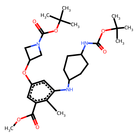 COC(=O)c1cc(OC2CN(C(=O)OC(C)(C)C)C2)cc(NC2CCC(NC(=O)OC(C)(C)C)CC2)c1C